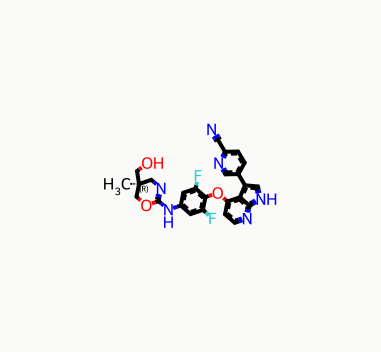 C[C@]1(CO)CN=C(Nc2cc(F)c(Oc3ccnc4[nH]cc(-c5ccc(C#N)nc5)c34)c(F)c2)OC1